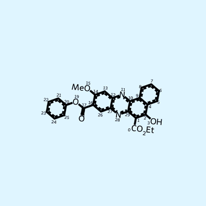 CCOC(=O)c1c(O)c2ccccc2c2nc3cc(OC)c(C(=O)Oc4ccccc4)cc3nc12